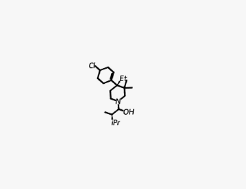 CC[C@]1(C2=CCC(Cl)CC2)CCN(C(O)[C@H](C)C(C)C)CC1(C)C